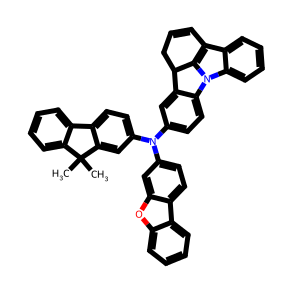 CC1(C)c2ccccc2-c2ccc(N(c3ccc4c(c3)C3CC=Cc5c3n-4c3ccccc53)c3ccc4c(c3)oc3ccccc34)cc21